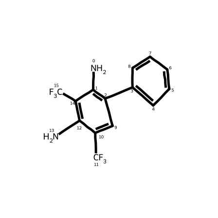 Nc1c(-c2ccccc2)cc(C(F)(F)F)c(N)c1C(F)(F)F